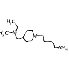 CCN(C)CC1CCN(CCCCN)CC1